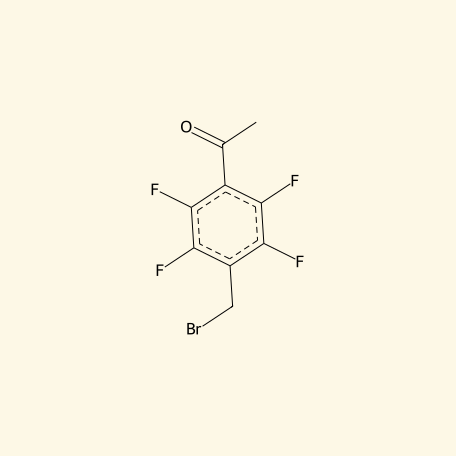 CC(=O)c1c(F)c(F)c(CBr)c(F)c1F